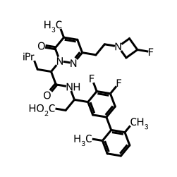 Cc1cccc(C)c1-c1cc(F)c(F)c(C(CC(=O)O)NC(=O)C(CC(C)C)n2nc(CCN3CC(F)C3)cc(C)c2=O)c1